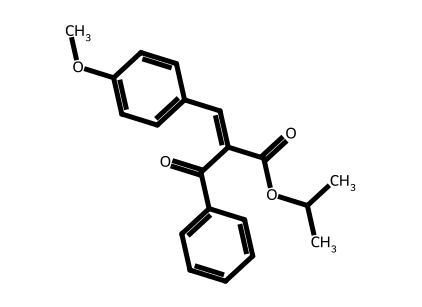 COc1ccc(/C=C(/C(=O)OC(C)C)C(=O)c2ccccc2)cc1